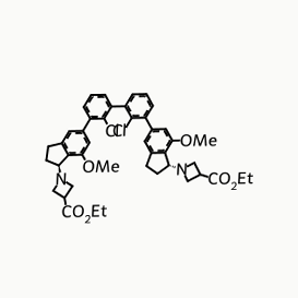 CCOC(=O)C1CN([C@@H]2CCc3cc(-c4cccc(-c5cccc(-c6cc7c(c(OC)c6)[C@@H](N6CC(C(=O)OCC)C6)CC7)c5Cl)c4Cl)cc(OC)c32)C1